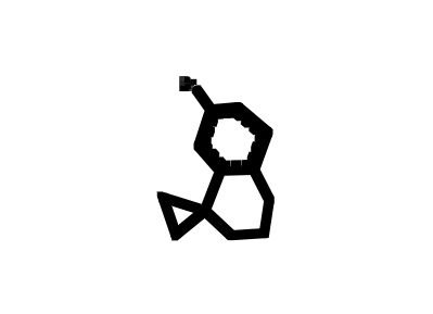 Brc1ccc2c(c1)C1(CCC2)CC1